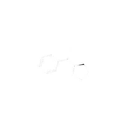 I[C@@H](c1ccccc1)[C@H]1CCCO1